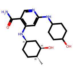 C[C@@H]1CC[C@@H](Nc2cc(NC3CCC(O)CC3)ncc2C(N)=O)C[C@H]1O